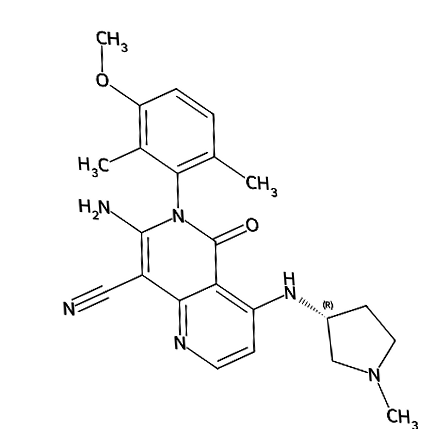 COc1ccc(C)c(-n2c(N)c(C#N)c3nccc(N[C@@H]4CCN(C)C4)c3c2=O)c1C